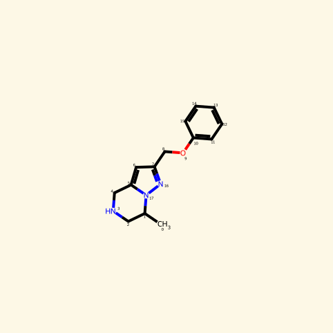 CC1CNCc2cc(COc3ccccc3)nn21